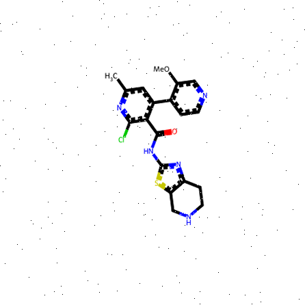 COc1cnccc1-c1cc(C)nc(Cl)c1C(=O)Nc1nc2c(s1)CNCC2